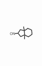 CC12CCCCC1(C)CC(N=O)C2